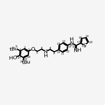 CC(C)(C)c1cc(OCCNCCc2ccc(NC(=N)c3cccs3)cc2)cc(C(C)(C)C)c1O